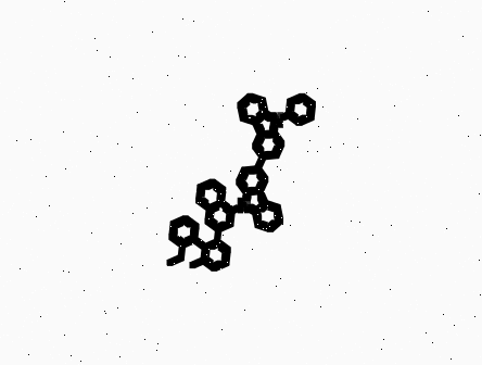 CCc1ccccc1-c1c(C)cccc1-c1cc(-n2c3ccccc3c3cc(-c4ccc5c(c4)c4ccccc4n5-c4ccccc4)ccc32)c2ccccc2c1